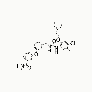 CCN(CC)CCOc1cc(Cl)c(C)cc1NC(=O)NCc1cccc(Oc2ccnc(C(=O)NC)c2)c1